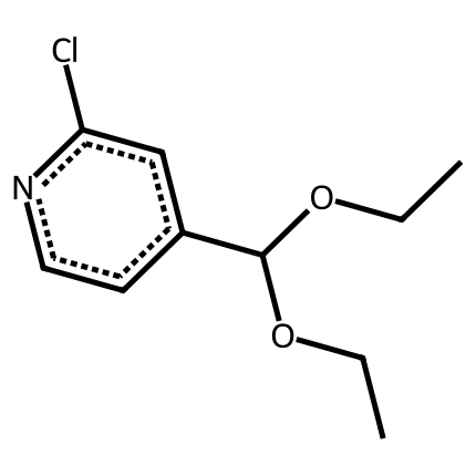 CCOC(OCC)c1ccnc(Cl)c1